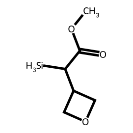 COC(=O)C([SiH3])C1COC1